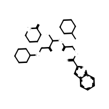 O=C(NC1CCCCC1)C(=O)C(C[C@@H]1CCCNC1=O)NC(=O)[C@H](CC1CCCCC1)NC(=O)c1cc2ccccc2o1